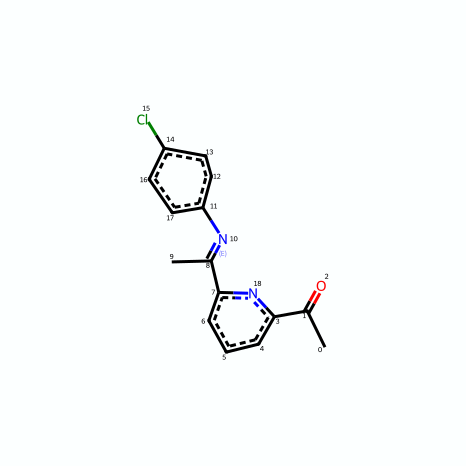 CC(=O)c1cccc(/C(C)=N/c2ccc(Cl)cc2)n1